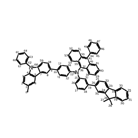 Cc1ccc2c(c1)c1cc(-c3ccc(N(c4cccc(-c5ccc6c(c5)C(C)(C)c5ccccc5-6)c4)c4c5ccccc5c(-c5ccccc5)c5ccccc45)cc3)ccc1n2-c1ccccc1